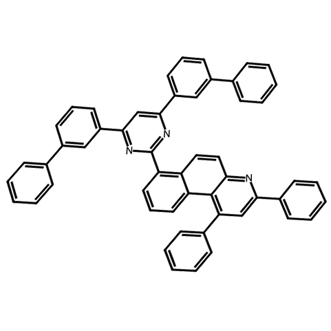 c1ccc(-c2cccc(-c3cc(-c4cccc(-c5ccccc5)c4)nc(-c4cccc5c4ccc4nc(-c6ccccc6)cc(-c6ccccc6)c45)n3)c2)cc1